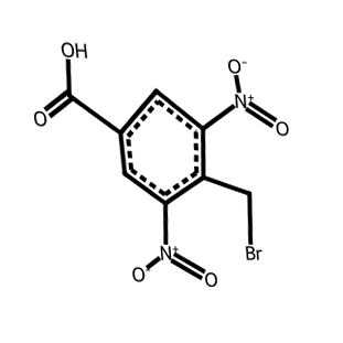 O=C(O)c1cc([N+](=O)[O-])c(CBr)c([N+](=O)[O-])c1